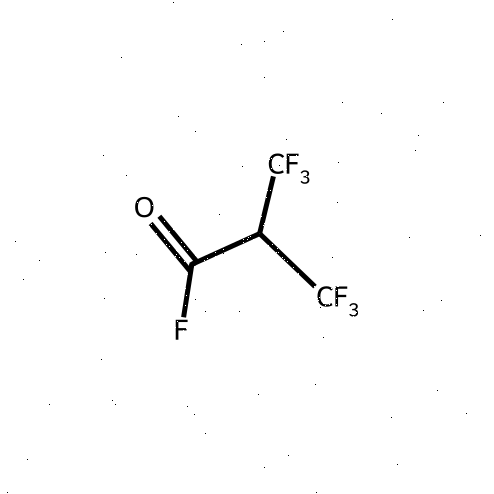 O=C(F)C(C(F)(F)F)C(F)(F)F